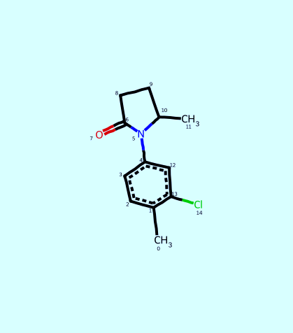 Cc1ccc(N2C(=O)CCC2C)cc1Cl